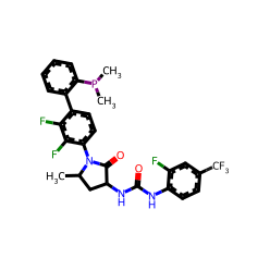 CC1CC(NC(=O)Nc2ccc(C(F)(F)F)cc2F)C(=O)N1c1ccc(-c2ccccc2P(C)C)c(F)c1F